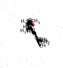 C#CCCCN(CCOCCCN1CCC(NC(=O)c2ccc(Nc3ncc4c(n3)N(C3CCCC3)[C@H](CC)C(=O)N4C)c(OC)c2)CC1)C(=O)OC(C)(C)C